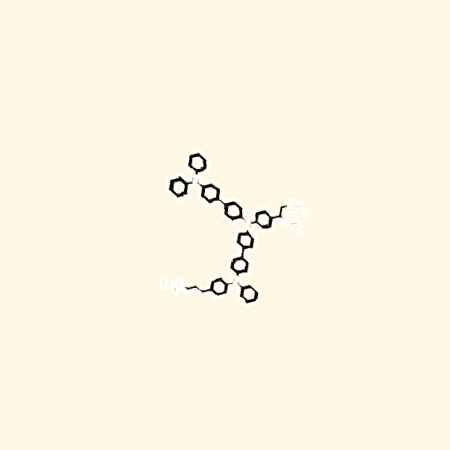 CCCCc1ccc(N(c2ccccc2)c2ccc(-c3ccc(N(c4ccc(-c5ccc(N(c6ccccc6)c6ccccc6)cc5)cc4)c4ccc(C(C)CC)cc4)cc3)cc2)cc1